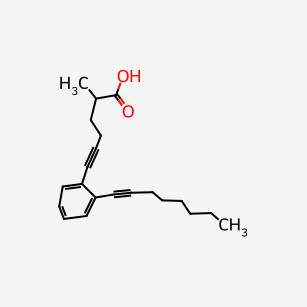 CCCCCCC#Cc1ccccc1C#CCCC(C)C(=O)O